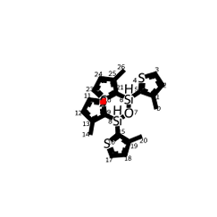 Cc1ccsc1[SiH](O[SiH](c1sccc1C)c1sccc1C)c1sccc1C